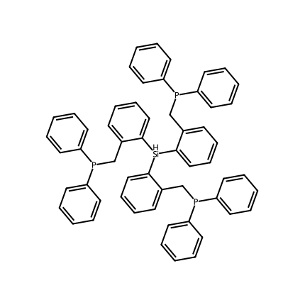 c1ccc(P(Cc2ccccc2[SiH](c2ccccc2CP(c2ccccc2)c2ccccc2)c2ccccc2CP(c2ccccc2)c2ccccc2)c2ccccc2)cc1